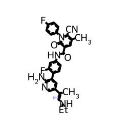 CCN/C=C(\C)c1cnc(N)c(-c2ccc(NC(=O)c3cc(C)c(C#N)n(-c4ccc(F)cc4)c3=O)cc2F)c1